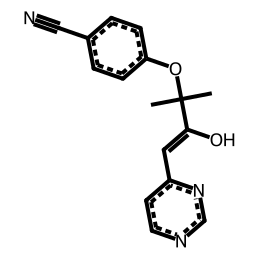 CC(C)(Oc1ccc(C#N)cc1)C(O)=Cc1ccncn1